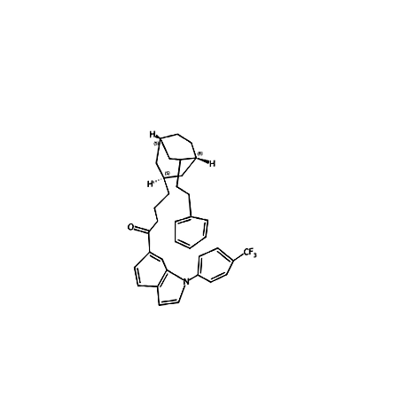 O=C(CCC[C@H]1C[C@@H]2CC[C@H](C1)C(CCc1ccccc1)C2)c1ccc2ccn(-c3ccc(C(F)(F)F)cc3)c2c1